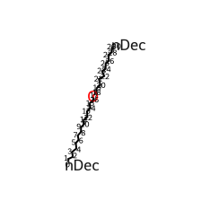 CCCCCCCCCCCCCCCCCCCCCCCCCCOCCCCCCCCCCCCCCCCCCCCCC